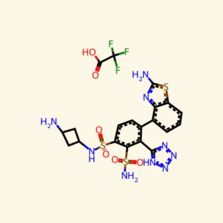 Nc1nc2c(-c3ccc(S(=O)(=O)NC4CC(N)C4)c(S(N)(=O)=O)c3-c3nnn[nH]3)cccc2s1.O=C(O)C(F)(F)F